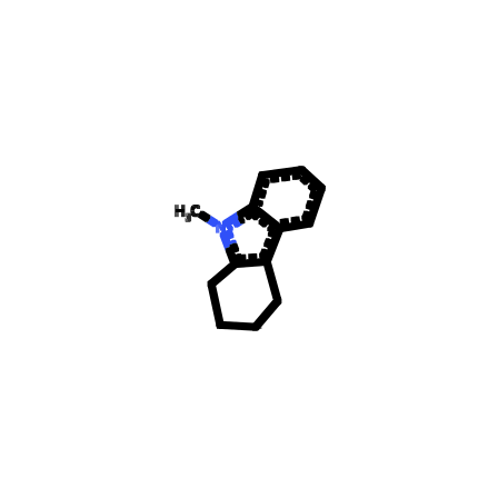 Cn1c2c(c3ccccc31)C[CH]CC2